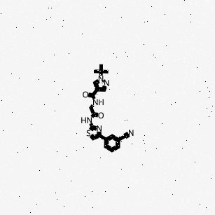 CC(C)(C)n1cc(C(=O)NCC(=O)Nc2nc(-c3cccc(C#N)c3)cs2)cn1